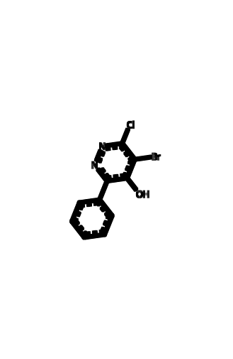 Oc1c(-c2ccccc2)nnc(Cl)c1Br